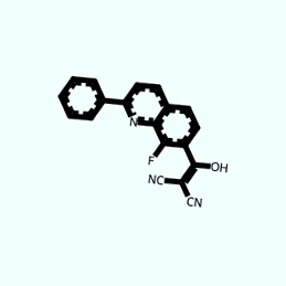 N#CC(C#N)=C(O)c1ccc2ccc(-c3ccccc3)nc2c1F